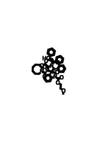 COCCOC(=O)N1C(=O)[C@@]2(c3ccccc31)[C@H](c1ccccc1OCCO)N1[C@H](c3ccccc3)[C@H](c3ccccc3)OC(=O)[C@H]1[C@@H]2C(=O)N1CCCCCCC1